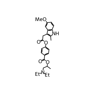 CCN(CC)CC(C)OC(=O)c1ccc(OC(=O)Cc2c(C)[nH]c3ccc(OC)cc23)cc1